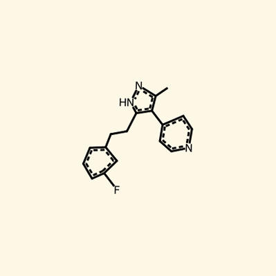 Cc1n[nH]c(CCc2cccc(F)c2)c1-c1ccncc1